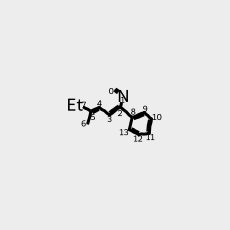 C=N/C(=C\C=C(/C)CC)c1ccccc1